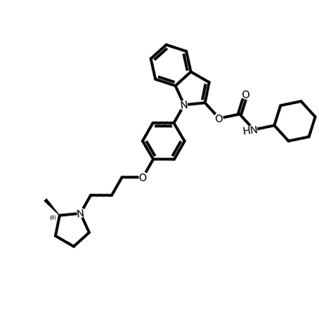 C[C@@H]1CCCN1CCCOc1ccc(-n2c(OC(=O)NC3CCCCC3)cc3ccccc32)cc1